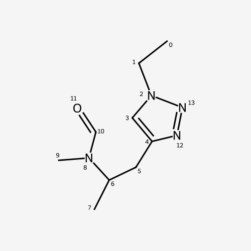 CCn1cc(CC(C)N(C)C=O)nn1